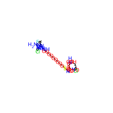 COc1cc2cc(c1Cl)N(C)C(=O)C[C@H](OC(=O)[C@@H](C)N(C)C(=O)CCSSCCOCCOCCOCCOCCOCCOCCOCCOCCC(=O)NCCNc1ncc(-c3cc(C)cc(F)c3)c(N3CCC(N)CC3)c1-c1nc3ccc(Cl)cc3[nH]1)[C@]1(C)OC1[C@@H](C)C1C[C@@](O)(NC(=O)O1)[C@H](OC)/C=C/C=C(\C)C2